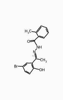 C/C(=N\NC(=O)c1ccccc1C)c1cc(Br)ccc1O